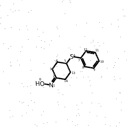 ON=C1CCC(Sc2ccccc2)CC1